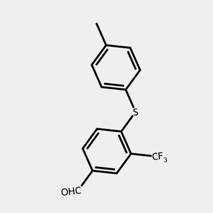 Cc1ccc(Sc2ccc(C=O)cc2C(F)(F)F)cc1